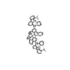 CC(C)c1cccc2c1oc1c(N(c3ccccc3)c3ccc4c5c(c6ccccc6c4c3)-c3cc(N(c4ccccc4)c4cccc6c4oc4c(C(C)C)cccc46)c4ccccc4c3C53c4ccccc4-c4ccccc43)cccc12